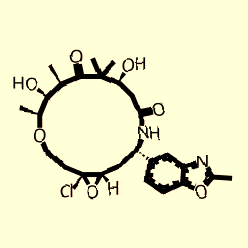 Cc1nc2cc([C@@H]3C[C@@H]4O[C@]4(Cl)CCO[C@@H](C)[C@@H](O)[C@@H](C)C(=O)C(C)(C)[C@@H](O)CC(=O)N3)ccc2o1